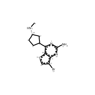 CN[C@H]1CCC(c2nc(N)nc3c(Br)csc23)C1